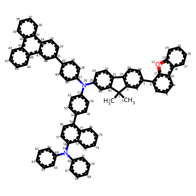 CC1(C)c2cc(-c3cccc4c3oc3ccccc34)ccc2-c2ccc(N(c3ccc(-c4ccc5c6ccccc6c6ccccc6c5c4)cc3)c3ccc(-c4ccc(N(c5ccccc5)c5ccccc5)c5ccccc45)cc3)cc21